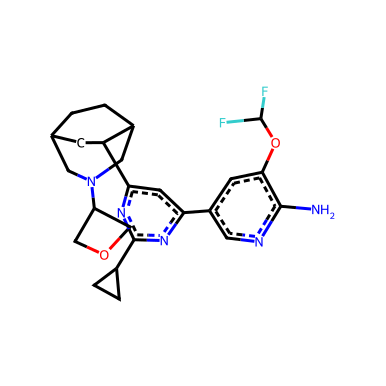 Nc1ncc(-c2cc(C3CC4CCC3CN(C3COC3)C4)nc(C3CC3)n2)cc1OC(F)F